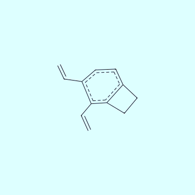 C=Cc1ccc2c(c1C=C)CC2